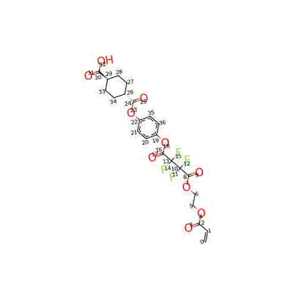 C=CC(=O)OCCOC(=O)C(F)(F)C(F)(F)C(=O)Oc1ccc(OC(=O)[C@H]2CC[C@H](C(=O)O)CC2)cc1